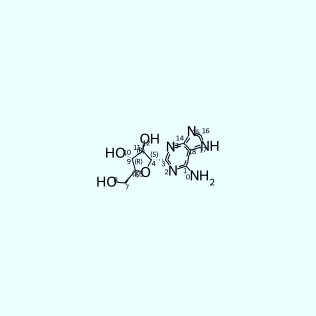 Nc1nc([C@@H]2O[C@@H](CO)[C@H](O)[C@H]2O)nc2nc[nH]c12